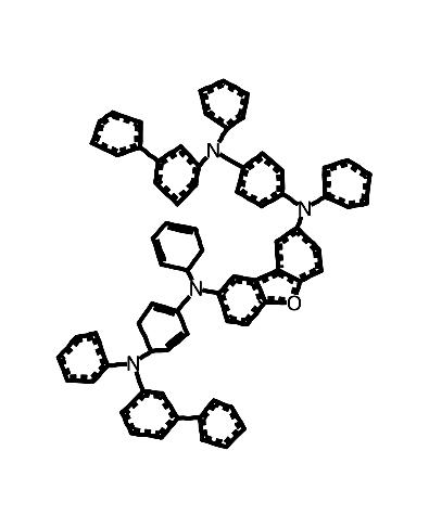 C1=CCC(N(C2=CCC(N(c3ccccc3)c3cccc(-c4ccccc4)c3)C=C2)c2ccc3oc4ccc(N(c5ccccc5)c5ccc(N(c6ccccc6)c6cccc(-c7ccccc7)c6)cc5)cc4c3c2)C=C1